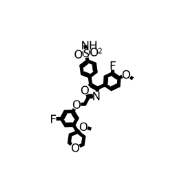 COc1ccc(-c2nc(COc3cc(F)cc(C4(OC)CCOCC4)c3)oc2-c2ccc(S(N)(=O)=O)cc2)cc1F